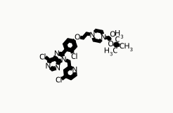 CC(C)(C)OC(=O)N1CCN(CCOc2ccc(-c3nc4c(Cl)ncnc4n3Cc3cc(Cl)ccn3)c(Cl)c2)CC1